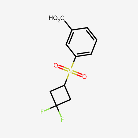 O=C(O)c1cccc(S(=O)(=O)C2CC(F)(F)C2)c1